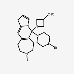 CCN1CCN(C2(N3CC(C=O)C3)C3=C(CCN(C)CC3)N=C3CC=NN32)CC1